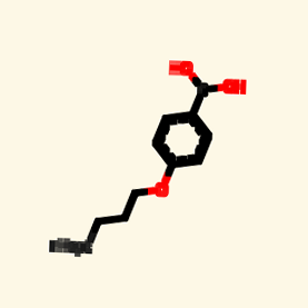 CCCCCCCCCCOc1ccc(B(O)O)cc1